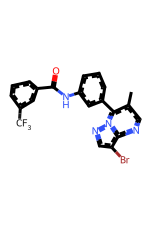 Cc1cnc2c(Br)cnn2c1-c1cccc(NC(=O)c2cccc(C(F)(F)F)c2)c1